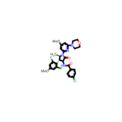 COc1cc(N2CCOCC2)nc(N2C(=O)C(NC(=O)c3ccc(Cl)cc3)[C@H](c3c(F)cc(OC)cc3F)[C@H]2C)c1